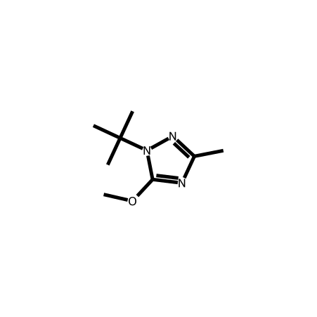 COc1nc(C)nn1C(C)(C)C